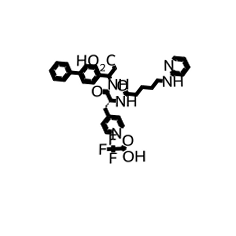 O=C(O)C(F)(F)F.O=C(O)CC(NC(=O)[C@@H](Cc1ccncc1)NC(=O)CCCCNc1ccccn1)c1ccc(-c2ccccc2)cc1